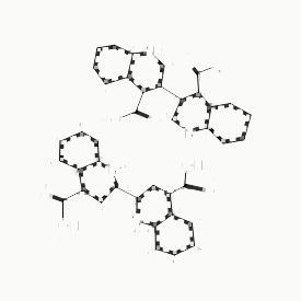 O=C(O)c1c(-c2cnc3ccccc3c2C(=O)O)cnc2ccccc12.O=C(O)c1cc(-c2cc(C(=O)O)c3ccccc3n2)nc2ccccc12